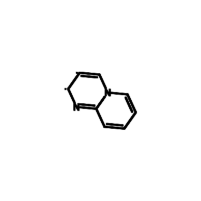 [C]1=CN2C=CC=CC2=N[CH]1